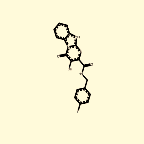 O=C(NCc1ccc(F)cc1)c1nc2[nH]c3ccccc3n2c(=O)c1O